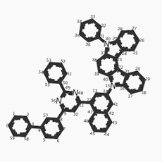 c1ccc(-c2cccc(-c3cc(-c4cc(-n5c6ccccc6c6c7c8ccccc8n(-c8ccccc8)c7ccc65)cc5ccccc45)nc(-c4ccccc4)n3)c2)cc1